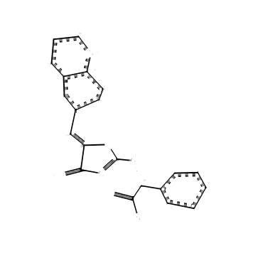 NC(=O)[C@H](NC1=NC(=O)/C(=C/c2ccc3ncccc3c2)S1)c1ccccc1